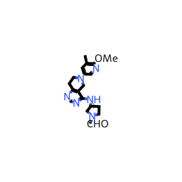 COc1ncc(N2CCc3ncnc(N[C@H]4CCN(C=O)C4)c3C2)cc1C